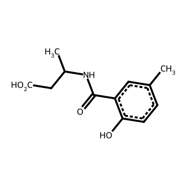 Cc1ccc(O)c(C(=O)NC(C)CC(=O)O)c1